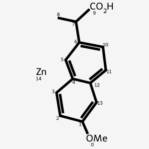 COc1ccc2cc(C(C)C(=O)O)ccc2c1.[Zn]